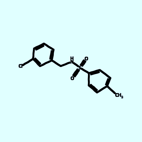 Cc1ccc(S(=O)(=O)NCc2cccc(Cl)c2)cc1